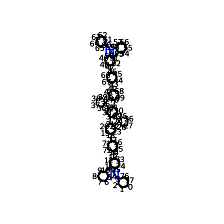 c1ccc(-n2c3ccccc3c3cc(-c4ccc(-c5ccc6c(c5)C5(CCCC5)c5cc7c(cc5-6)C5(CCCC5)c5cc(-c6ccc(-c8ccc9c(c8)c8ccccc8n9-c8ccccc8)cc6)ccc5-7)cc4)ccc32)cc1